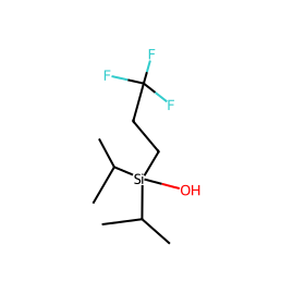 CC(C)[Si](O)(CCC(F)(F)F)C(C)C